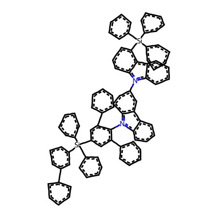 c1ccc(-c2cccc([Si](c3ccccc3)(c3ccccc3)c3cc(-c4ccccc4)c(-n4c5ccccc5c5cc(-n6c7ccccc7c7c([Si](c8ccccc8)(c8ccccc8)c8ccccc8)cccc76)ccc54)c(-c4ccccc4)c3)c2)cc1